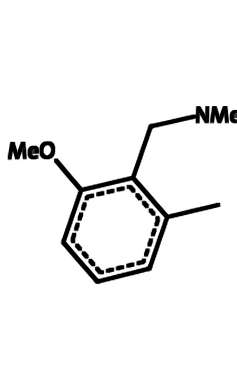 CNCc1c(C)cccc1OC